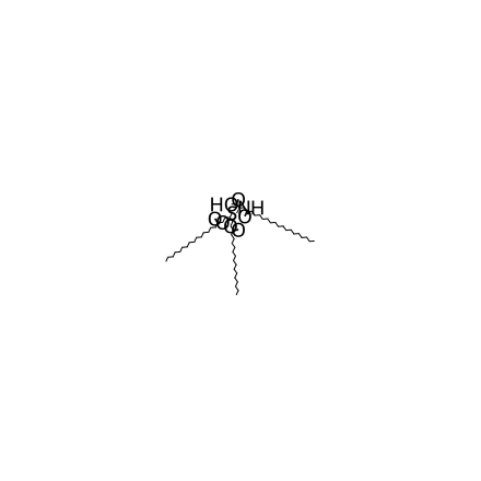 CCCCCCCCCCCCCCCCCC(=O)N[C@@H](CSC(COC(=O)CCCCCCCCCCCCCCC)COC(=O)CCCCCCCCCCCCCCC)C(=O)O